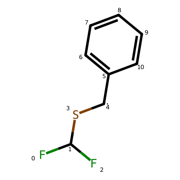 FC(F)S[CH]c1ccccc1